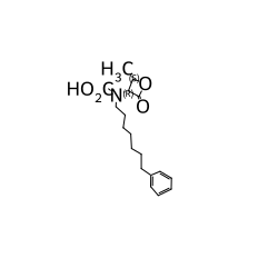 C[C@@H]1OC(=O)[C@@H]1N(CCCCCCCc1ccccc1)C(=O)O